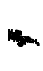 CC(=O)[C@@H]1C[C@@H](NC(=O)Nc2c(C)c(-c3cnn(C)c3)nn2-c2ccccc2)[C@H](c2ccc(F)c(F)c2)N1